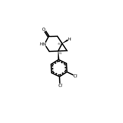 O=C1C[C@@H]2C[C@]2(c2ccc(Cl)c(Cl)c2)CN1